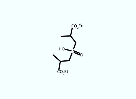 CCOC(=O)C(C)CP(=O)(O)CC(C)C(=O)OCC